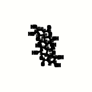 O=c1oc2c(O)c(O)c(-c3c(O)c(O)c4oc(=O)c5cc(O)c(O)c6oc(=O)c3c4c65)c3c(=O)oc4c(O)c(O)cc1c4c23